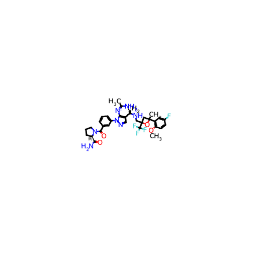 C=C(NCC1(C(F)(F)F)CC(C)(c2cc(F)ccc2OC)O1)c1cnn(-c2cccc(C(=O)N3CCC[C@@H]3C(N)=O)c2)c1/N=C(/C)N